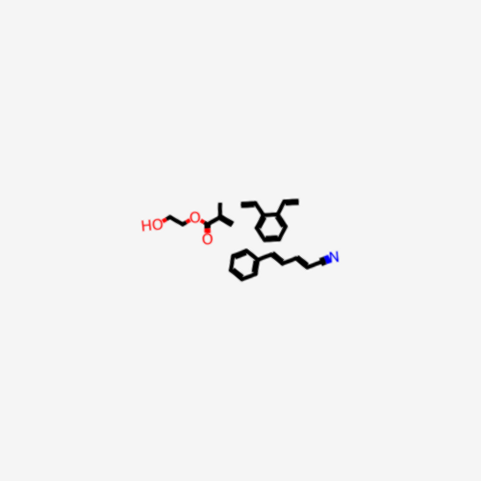 C=C(C)C(=O)OCCO.C=Cc1ccccc1C=C.N#CC=CC=Cc1ccccc1